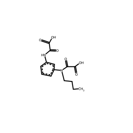 CCCCN(C(=O)C(=O)O)c1cccc(NC(=O)C(=O)O)c1